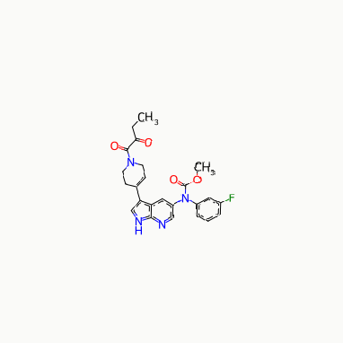 CCC(=O)C(=O)N1CC=C(c2c[nH]c3ncc(N(C(=O)OC)c4cccc(F)c4)cc23)CC1